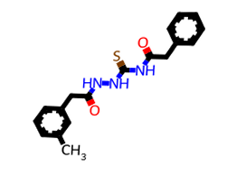 Cc1cccc(CC(=O)NNC(=S)NC(=O)Cc2ccccc2)c1